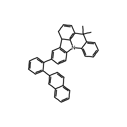 CC1(C)C2=C3C(CC=C2)c2cc(-c4ccccc4-c4ccc5ccccc5c4)ccc2N3c2ccccc21